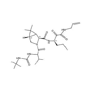 C=CCNC(=O)C(=O)[C@@H](CCC)NC(=O)[C@@H]1C2[C@H](CN1C(=O)C(NC(=O)NC(C)(C)C)C(C)C)C2(C)C